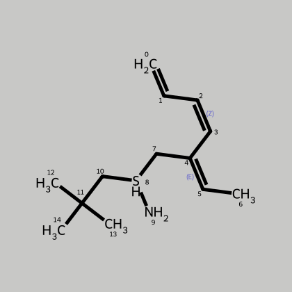 C=C/C=C\C(=C/C)C[SH](N)CC(C)(C)C